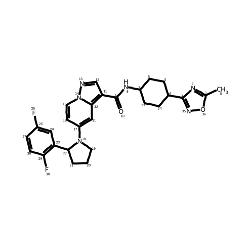 Cc1nc(C2CCC(NC(=O)c3cnn4ccc(N5CCCC5c5cc(F)ccc5F)cc34)CC2)no1